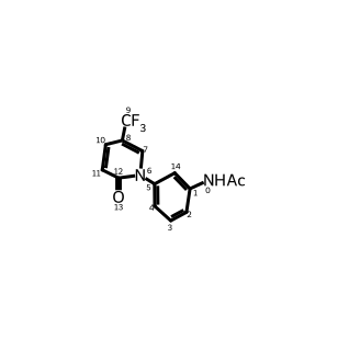 CC(=O)Nc1cccc(-n2cc(C(F)(F)F)ccc2=O)c1